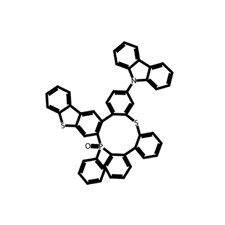 O=P1(c2ccccc2)c2ccccc2-c2ccccc2Sc2cc(-n3c4ccccc4c4ccccc43)ccc2-c2cc3c(cc21)sc1ccccc13